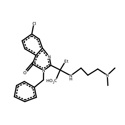 CCC(NCCCN(C)C)(C(=O)O)c1nc2cc(Cl)ccc2c(=O)n1Cc1ccccc1